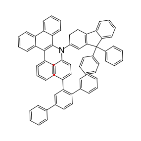 C1=C=C(c2c(N(C3=CC4=C(CC3)c3ccccc3C4(c3ccccc3)c3ccccc3)c3ccc(-c4cc(-c5ccccc5)ccc4-c4ccccc4)cc3)c3ccccc3c3ccccc23)C=CC=1